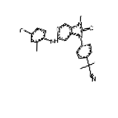 Cc1cc(Cl)ccc1Nc1cc2c(cn1)n(C)c(=O)n2-c1ccc(C(C)(C)C#N)cc1